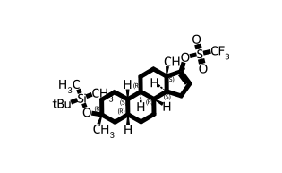 CC(C)(C)[Si](C)(C)O[C@]1(C)CC[C@H]2[C@H](CC[C@@H]3[C@@H]2CC[C@]2(C)C(OS(=O)(=O)C(F)(F)F)=CC[C@@H]32)C1